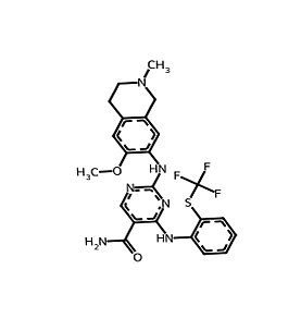 COc1cc2c(cc1Nc1ncc(C(N)=O)c(Nc3ccccc3SC(F)(F)F)n1)CN(C)CC2